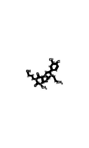 CCCn1c(-c2ccc(Cl)c(Cl)c2)cn2c3c(=O)n(CCCO)c(=O)n(C)c3nc12